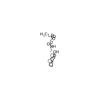 CCCC1=C(COC(=O)NCCC[C@@H](Cc2ncn3c2CCc2ccccc2-3)C(=O)O)OOO1